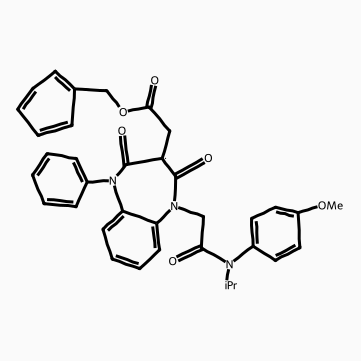 COc1ccc(N(C(=O)CN2C(=O)[C](CC(=O)OCc3ccccc3)C(=O)N(c3ccccc3)c3ccccc32)C(C)C)cc1